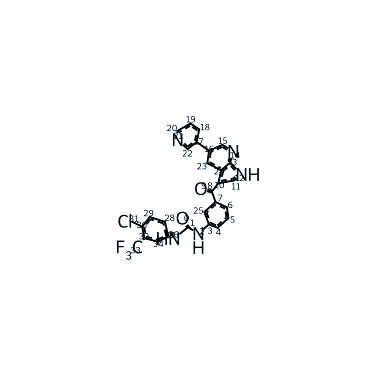 O=C(Nc1cccc(C(=O)c2c[nH]c3ncc(-c4cccnc4)cc23)c1)Nc1ccc(Cl)c(C(F)(F)F)c1